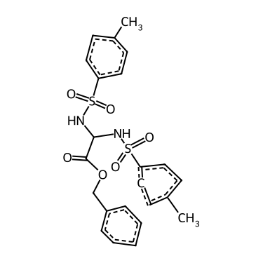 Cc1ccc(S(=O)(=O)NC(NS(=O)(=O)c2ccc(C)cc2)C(=O)OCc2ccccc2)cc1